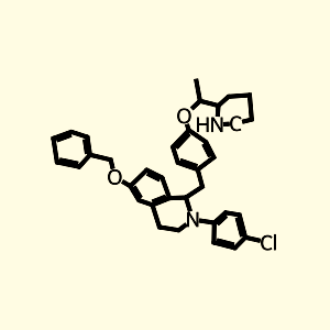 CC(Oc1ccc(CC2c3ccc(OCc4ccccc4)cc3CCN2c2ccc(Cl)cc2)cc1)C1CCCCN1